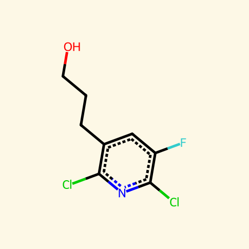 OCCCc1cc(F)c(Cl)nc1Cl